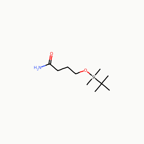 CC(C)(C)[Si](C)(C)OCCCC(N)=O